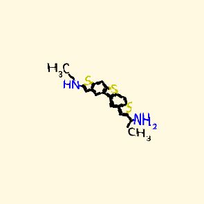 CCCNc1cc2cc3c(cc2s1)sc1cc2sc(C(N)CC)cc2cc13